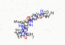 CC[C@@H]1C(=O)N(C)c2cnc(Nc3ccc(C(=O)NC4CCN(CC(=O)N[C@@H](CC(C)C)C(=O)O)CC4)cc3OC)nc2N1C1CCCC1